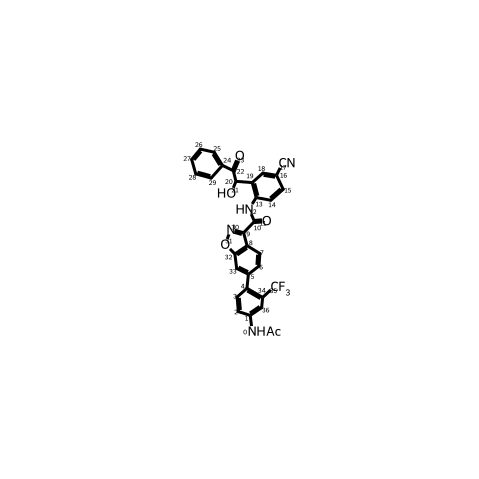 CC(=O)Nc1ccc(-c2ccc3c(C(=O)Nc4ccc(C#N)cc4C(O)C(=O)c4ccccc4)noc3c2)c(C(F)(F)F)c1